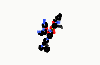 CC(C)c1ccccc1[C@H]1CCCN1C1CC2(CCN(c3ccc(C(=O)NS(=O)(=O)c4cc5c(c([N+](=O)[O-])c4)N[C@@H](C4CCC(C)(C)CC4)CO5)c(Oc4cc5cc[nH]c5nc4OC4CCNCC4)c3)CC2)C1